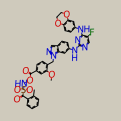 COc1cc(C(=O)ONS(=O)(=O)C(=O)c2ccccc2C)ccc1Cn1ncc2ccc(Nc3ncc(F)c(Nc4ccc5c(c4)OCCO5)n3)cc21